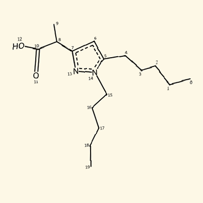 CCCCCc1cc(C(C)C(=O)O)nn1CCCCC